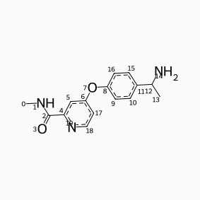 CNC(=O)c1cc(Oc2ccc(C(C)N)cc2)ccn1